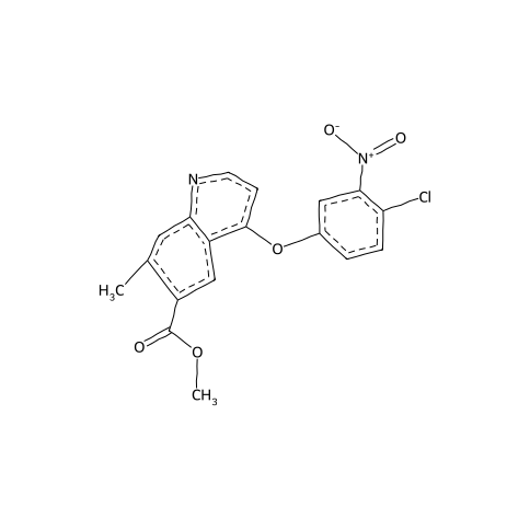 COC(=O)c1cc2c(Oc3ccc(Cl)c([N+](=O)[O-])c3)ccnc2cc1C